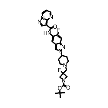 CC(C)(C)OC(=O)N1CC(F)(CN2CCC(n3cc4cc(NC(=O)c5cnn6cccnc56)c(F)cc4n3)CC2)C1